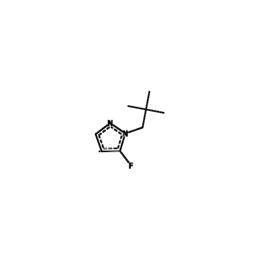 CC(C)(C)Cn1nc[c]c1F